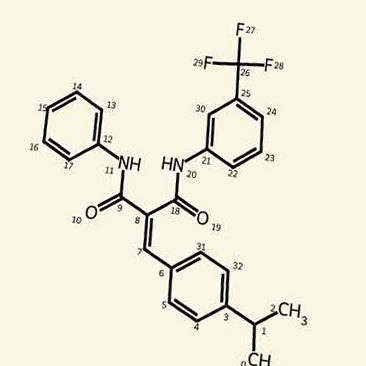 CC(C)c1ccc(/C=C(/C(=O)Nc2ccccc2)C(=O)Nc2cccc(C(F)(F)F)c2)cc1